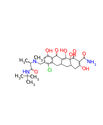 C[C@H](C(=O)NC(C)(C)C)N(C)Cc1cc(O)c2c(c1Cl)CC1CC3CC(O)=C(C(N)=O)C(=O)C3(O)C(O)=C1C2=O